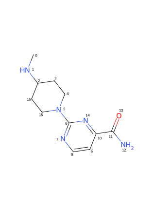 CNC1CCN(c2nc[c]c(C(N)=O)n2)CC1